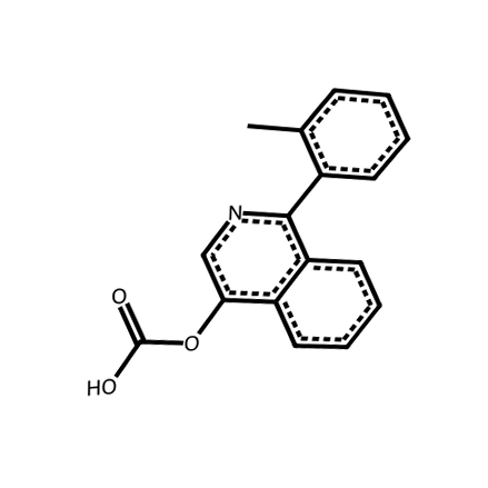 Cc1ccccc1-c1ncc(OC(=O)O)c2ccccc12